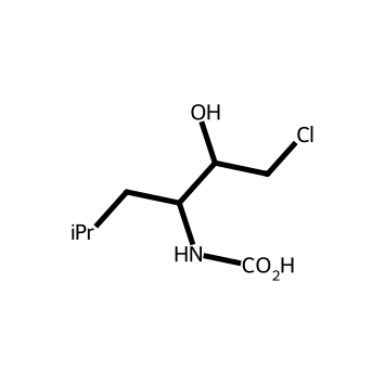 CC(C)CC(NC(=O)O)C(O)CCl